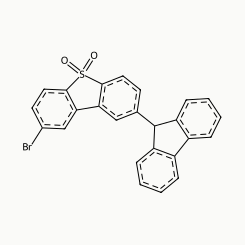 O=S1(=O)c2ccc(Br)cc2-c2cc(C3c4ccccc4-c4ccccc43)ccc21